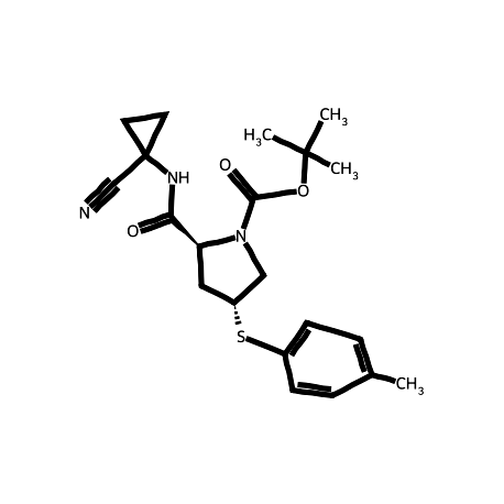 Cc1ccc(S[C@@H]2C[C@@H](C(=O)NC3(C#N)CC3)N(C(=O)OC(C)(C)C)C2)cc1